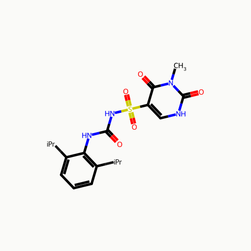 CC(C)c1cccc(C(C)C)c1NC(=O)NS(=O)(=O)c1c[nH]c(=O)n(C)c1=O